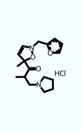 CC(CN1CCCC1)C(=O)C1(C)C=CN(Cc2ccco2)O1.Cl